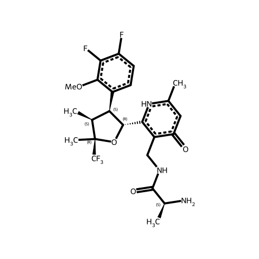 COc1c([C@H]2[C@H](c3[nH]c(C)cc(=O)c3CNC(=O)[C@H](C)N)O[C@@](C)(C(F)(F)F)[C@H]2C)ccc(F)c1F